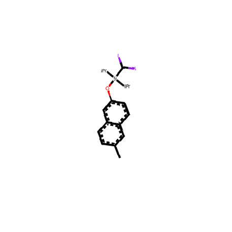 Cc1ccc2cc(O[Si](C(C)C)(C(C)C)C(I)I)ccc2c1